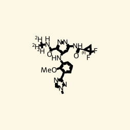 [2H]C([2H])([2H])NC(=O)c1nnc(NC(=O)[C@H]2CC2(F)F)cc1Nc1cccc(-c2ncn(C)n2)c1OC